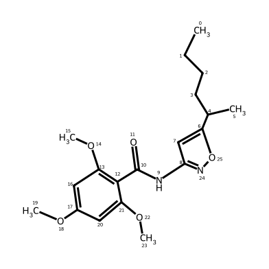 CCCCC(C)c1cc(NC(=O)c2c(OC)cc(OC)cc2OC)no1